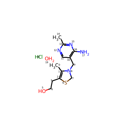 CC1=C(CCO)SCN1Cc1cnc(C)nc1N.Cl.O